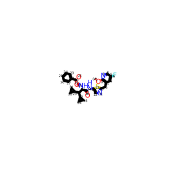 COc1ncc(F)cc1Cc1ncc(NC(=O)[C@@H](NOC(=O)c2ccccc2)C(C2CC2)C2CC2)s1